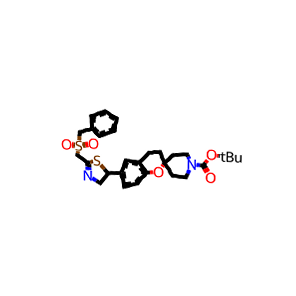 CC(C)(C)OC(=O)N1CCC2(CCc3cc(C4CN=C(CS(=O)(=O)Cc5ccccc5)S4)ccc3O2)CC1